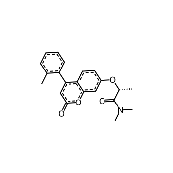 Cc1ccccc1-c1cc(=O)oc2cc(O[C@H](C)C(=O)N(C)C)ccc12